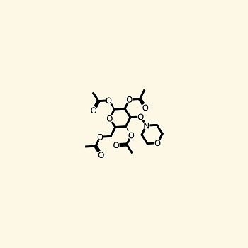 CC(=O)OCC1O[C@@H](OC(C)=O)C(OC(C)=O)C(ON2CCOCC2)[C@@H]1OC(C)=O